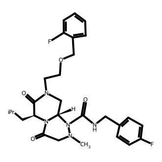 CC(C)C[C@H]1C(=O)N(CCOCc2ccccc2F)C[C@H]2N1C(=O)CN(C)N2C(=O)NCc1ccc(F)cc1